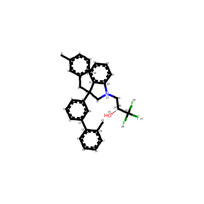 Cc1cccc(CC2(c3cccc(-c4ccccc4C)c3)CN(C[C@@H](O)C(F)(F)F)c3ccccc32)c1